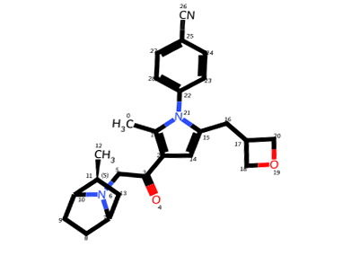 Cc1c(C(=O)CN2C3CCC2[C@@H](C)C3)cc(CC2COC2)n1-c1ccc(C#N)cc1